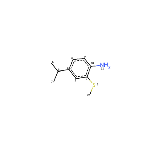 CSc1cc(C(C)C)ccc1N